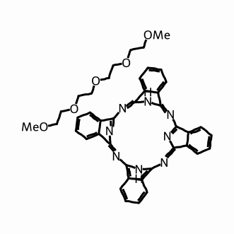 COCCOCCOCCOCCOC.c1ccc2c(c1)-c1nc-2nc2[nH]c(nc3nc(nc4[nH]c(n1)c1ccccc41)-c1ccccc1-3)c1ccccc21